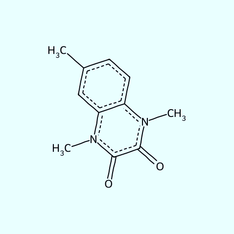 Cc1ccc2c(c1)n(C)c(=O)c(=O)n2C